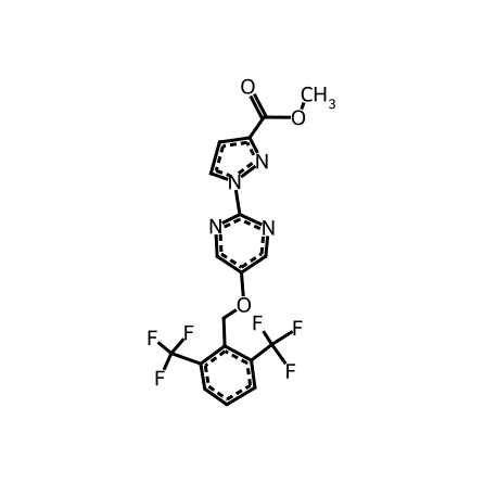 COC(=O)c1ccn(-c2ncc(OCc3c(C(F)(F)F)cccc3C(F)(F)F)cn2)n1